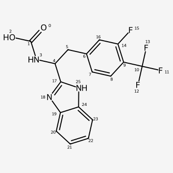 O=C(O)NC(Cc1ccc(C(F)(F)F)c(F)c1)c1nc2ccccc2[nH]1